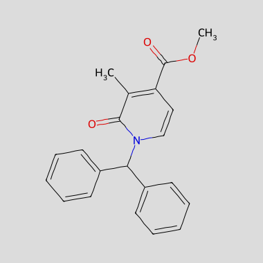 COC(=O)c1ccn(C(c2ccccc2)c2ccccc2)c(=O)c1C